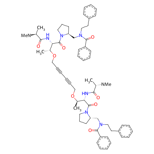 CN[C@@H](C)C(=O)N[C@H](C(=O)N1CCC[C@H]1CN(CCc1ccccc1)C(=O)c1ccccc1)[C@@H](C)OCC#CC#CCO[C@H](C)[C@H](NC(=O)[C@H](C)NC)C(=O)N1CCC[C@H]1CN(CCc1ccccc1)C(=O)c1ccccc1